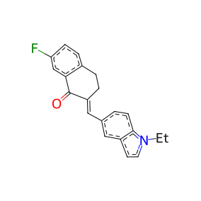 CCn1ccc2cc(/C=C3\CCc4ccc(F)cc4C3=O)ccc21